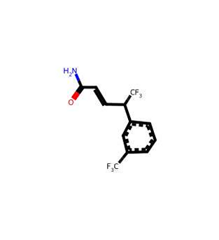 NC(=O)C=CC(c1cccc(C(F)(F)F)c1)C(F)(F)F